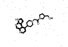 COCC1CCN(C(=O)CN2CCC(c3ccnc4cnc5[nH]ccc5c34)CC2)C1